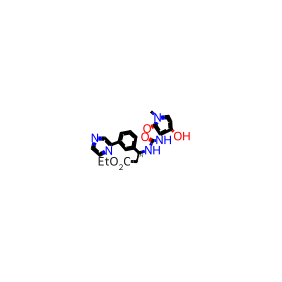 CCOC(=O)C[C@H](NC(=O)Nc1c(O)ccn(C)c1=O)c1cccc(-c2cnccn2)c1